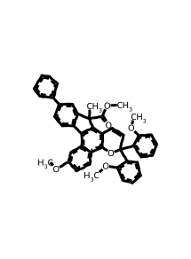 COC(=O)C1(C)c2cc(-c3ccccc3)ccc2-c2c1c1c(c3ccc(OC)cc23)OC(c2ccccc2OC)(c2ccccc2OC)C=C1